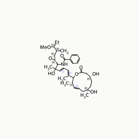 CC[C@H](OC)[C@@H](C)[C@H]1O[C@@H]1C(NC(=O)c1ccccc1)C(C)(O)/C=C/C=C(\C)C1OC(=O)C[C@H](O)CC[C@@](C)(O)C/C=C/[C@@H]1C